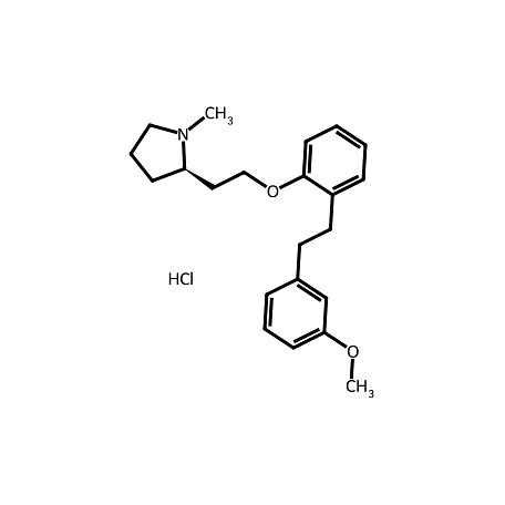 COc1cccc(CCc2ccccc2OCC[C@H]2CCCN2C)c1.Cl